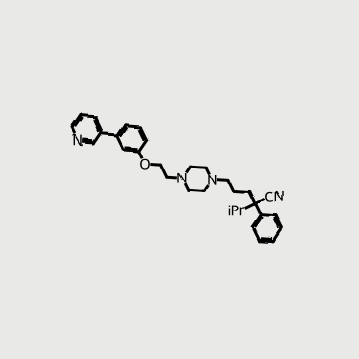 CC(C)C(C#N)(CCCN1CCN(CCOc2cccc(-c3cccnc3)c2)CC1)c1ccccc1